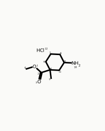 COC(=O)C1(C)CCCC(N)C1.Cl